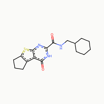 O=C(NCC1CCCCC1)c1nc2sc3c(c2c(=O)[nH]1)CCC3